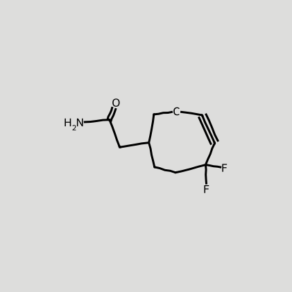 NC(=O)CC1CCC#CC(F)(F)CC1